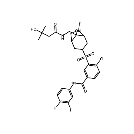 C[C@H]1CC2CC(S(=O)(=O)c3cc(C(=O)Nc4ccc(F)c(F)c4)ccc3Cl)CC1[C@@]2(O)CNC(=O)CC(C)(C)O